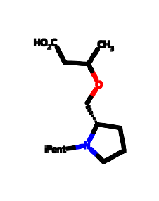 CCCC(C)N1CCC[C@H]1COC(C)CC(=O)O